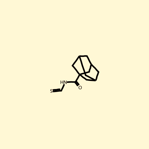 O=C(NC=S)C12CC3CC(CC(C3)C1)C2